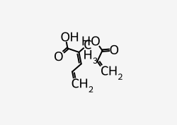 C=CC(=O)O.C=CC=C(C)C(=O)O